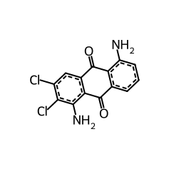 Nc1cccc2c1C(=O)c1cc(Cl)c(Cl)c(N)c1C2=O